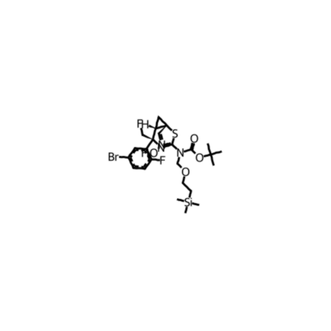 CC(C)(C)OC(=O)N(COCC[Si](C)(C)C)C1=N[C@](CF)(c2cc(Br)ccc2F)[C@@H]2C[C@]2(/C=N/O)S1